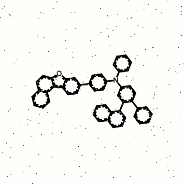 c1ccc(-c2ccc(N(c3ccccc3)c3ccc(-c4ccc5c(c4)oc4ccc6ccccc6c45)cc3)cc2-c2cccc3ccccc23)cc1